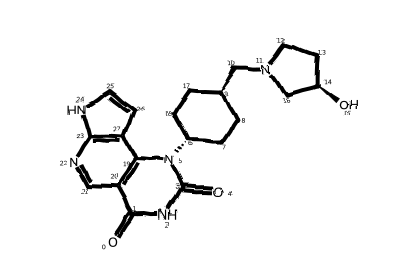 O=c1[nH]c(=O)n([C@H]2CC[C@H](CN3CC[C@@H](O)C3)CC2)c2c1cnc1[nH]ccc12